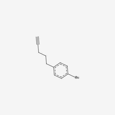 [C]#CCCCc1ccc(C(C)CC)cc1